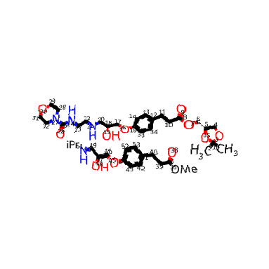 CC1(C)OC[C@@H](COC(=O)CCc2ccc(OC[C@@H](O)CNCCNC(=O)N3CCOCC3)cc2)O1.COC(=O)CCc1ccc(OCC(O)CNC(C)C)cc1